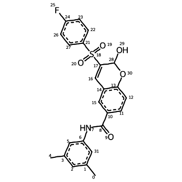 Cc1cc(C)cc(NC(=O)c2ccc3c(c2)C=C(S(=O)(=O)c2ccc(F)cc2)C(O)O3)c1